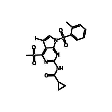 Cc1ccccc1S(=O)(=O)n1cc(I)c2c(S(C)(=O)=O)nc(NC(=O)C3CC3)nc21